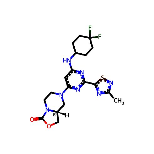 Cc1nsc(-c2nc(NC3CCC(F)(F)CC3)cc(N3CCN4C(=O)OC[C@H]4C3)n2)n1